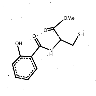 COC(=O)C(CS)NC(=O)c1ccccc1O